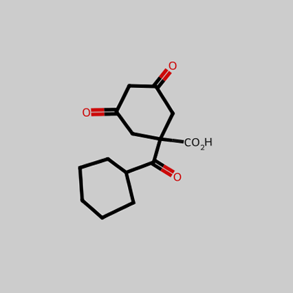 O=C1CC(=O)CC(C(=O)O)(C(=O)C2CCCCC2)C1